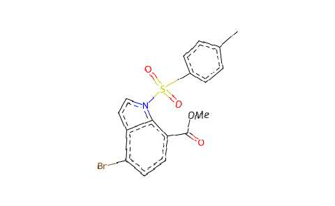 COC(=O)c1ccc(Br)c2ccn(S(=O)(=O)c3ccc(C)cc3)c12